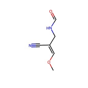 COC=C(C#N)CNC=O